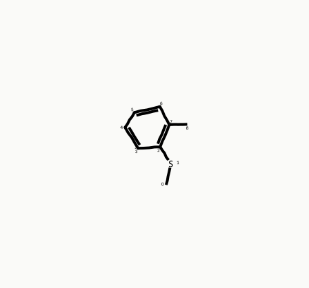 CSc1[c]cccc1C